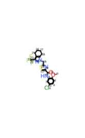 COc1ccc(Cl)cc1NC(=O)c1csc(Cn2nc(C(F)(F)F)c3c2CCCC3)n1